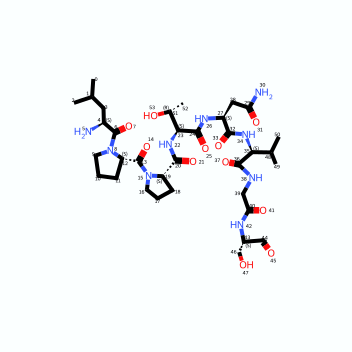 CC(C)C[C@H](N)C(=O)N1CCC[C@H]1C(=O)N1CCC[C@H]1C(=O)N[C@H](C(=O)N[C@@H](CC(N)=O)C(=O)N[C@H](C(=O)NCC(=O)N[C@H]([C]=O)CO)C(C)C)[C@@H](C)O